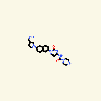 NCC1CCN(C2CCc3cc(-n4ccc(NC(=O)N5CCNCC5)nc4=O)ccc3C2)C1